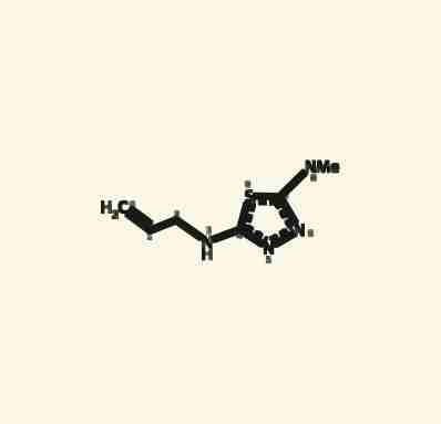 C=CCNc1nnc(NC)s1